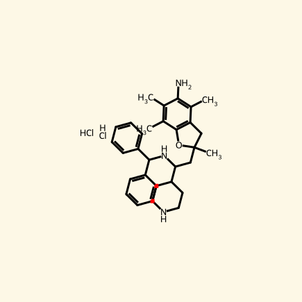 Cc1c(C)c2c(c(C)c1N)CC(C)(CC(NC(c1ccccc1)c1ccccc1)C1CCNCC1)O2.Cl.Cl